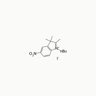 CCCC[N+]1=C(C)C(C)(C)c2cc([N+](=O)[O-])ccc21.[I-]